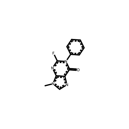 Cn1cnc2c(=O)n(-c3ccccc3)c(F)nc21